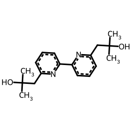 CC(C)(O)Cc1cccc(-c2cccc(CC(C)(C)O)n2)n1